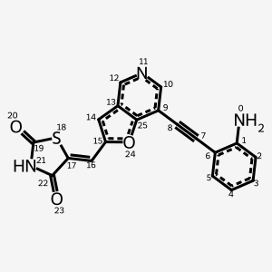 Nc1ccccc1C#Cc1cncc2cc(/C=C3\SC(=O)NC3=O)oc12